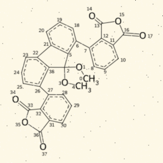 COC1(OC)c2c(-c3cccc4c3C(=O)OC4=O)cccc2-c2cccc(-c3cccc4c3C(=O)OC4=O)c21